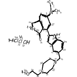 CN(C)c1cc2c(c(-c3cc4cc(CN5CCN(CCO)CC5)ccc4[nH]3)c1)C(=O)NC2.Cl.Cl.Cl